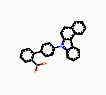 OB(O)c1ccccc1-c1ccc(-n2c3ccccc3c3c4ccccc4ccc32)cc1